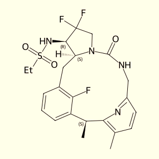 CCS(=O)(=O)N[C@@H]1[C@@H]2Cc3cccc(c3F)[C@H](C)c3nc(ccc3C)CNC(=O)N2CC1(F)F